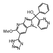 COc1nc2nc(C(O)(c3ccccc3)c3cccnn3)n(C)c2cc1-c1nnn[nH]1